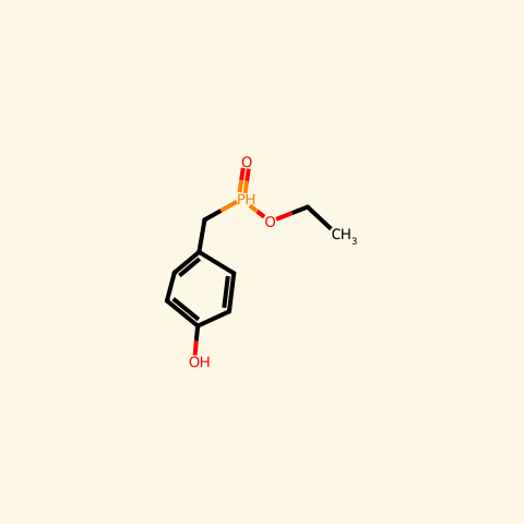 CCO[PH](=O)Cc1ccc(O)cc1